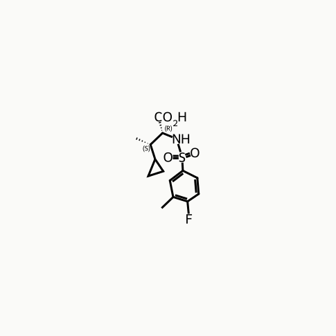 Cc1cc(S(=O)(=O)N[C@@H](C(=O)O)[C@@H](C)C2CC2)ccc1F